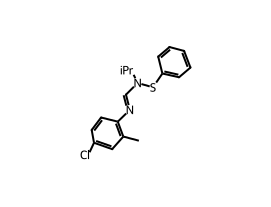 Cc1cc(Cl)ccc1N=CN(Sc1ccccc1)C(C)C